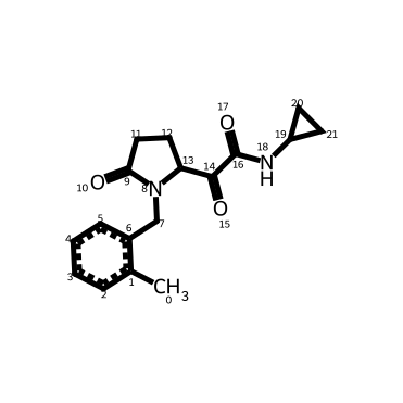 Cc1ccccc1CN1C(=O)CCC1C(=O)C(=O)NC1CC1